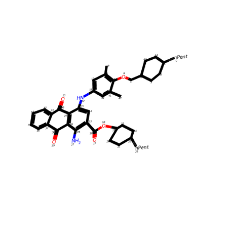 CCCCCC1CCC(COc2c(C)cc(Nc3cc(C(=O)OC4CCC(CCCCC)CC4)c(N)c4c3C(=O)c3ccccc3C4=O)cc2C)CC1